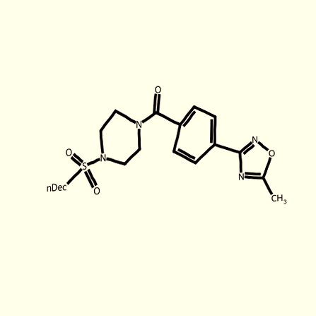 CCCCCCCCCCS(=O)(=O)N1CCN(C(=O)c2ccc(-c3noc(C)n3)cc2)CC1